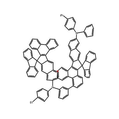 CCc1ccc(N(c2cccc(-c3cccc4c5c(c6ccccc6c34)-c3cc4ccc(N(c6ccccc6)c6ccc(C(C)C)cc6)cc4cc3C53c4ccccc4-c4ccccc43)c2)c2ccc3cc4c(cc3c2)C2(c3ccccc3-c3ccccc32)c2c-4c3ccccc3c3ccccc23)cc1